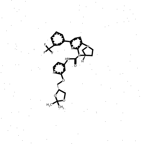 CC1(C)OC[C@@H](COc2cc(NC(=O)N3c4nc(-c5cccc(C(F)(F)F)c5)ccc4N4CC[C@H]3C4)ccn2)O1